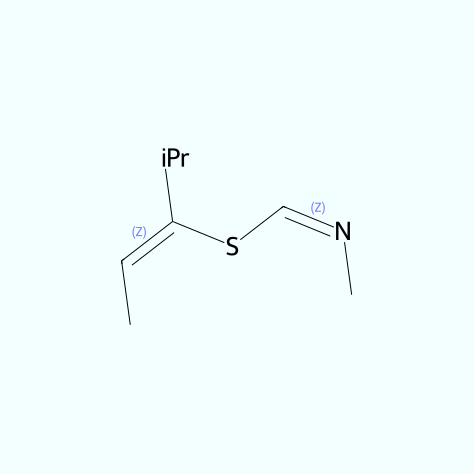 C/C=C(\S/C=N\C)C(C)C